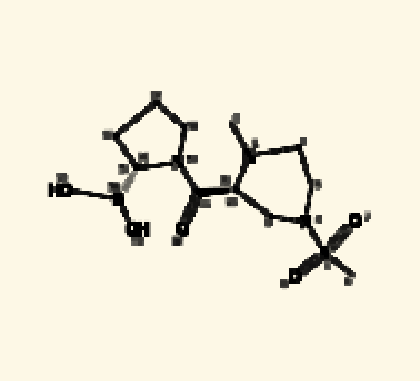 CN1CCN(S(C)(=O)=O)C[C@H]1C(=O)N1CCC[C@H]1B(O)O